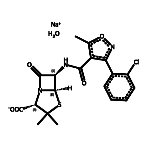 Cc1onc(-c2ccccc2Cl)c1C(=O)N[C@@H]1C(=O)N2[C@@H]1SC(C)(C)[C@@H]2C(=O)[O-].O.[Na+]